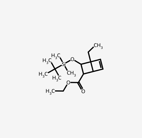 CCOC(=O)C1C2C=CC2(CC)C1O[Si](C)(C)C(C)(C)C